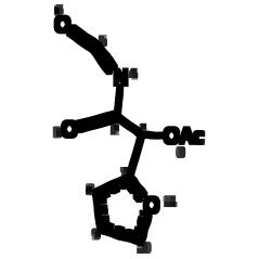 CC(=O)OC(C(=O)N=C=O)c1ccco1